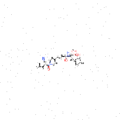 CC(C)C=C(C#N)C(=O)N1CCC(CCCC(=O)N[C@@H](Cc2ccccc2)B(O)O)CC1